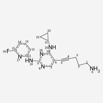 NCCCC#Cc1cnc(Nc2cccc(F)n2)nc1NC1CC1